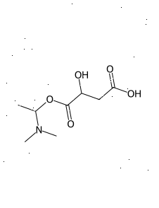 CC(OC(=O)C(O)CC(=O)O)N(C)C